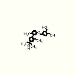 CCc1cc(C(O)(CC)CC)ccc1-c1cc(OCc2ccc(CO)c(CO)c2)ccc1C